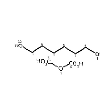 O=C(O)OC(=O)O.OCCCCCCO